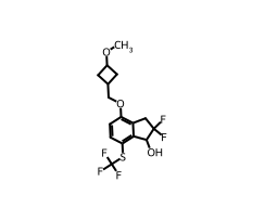 COC1CC(COc2ccc(SC(F)(F)F)c3c2CC(F)(F)C3O)C1